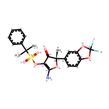 BC(B)(c1ccccc1)S(=O)(=O)OC1=C(N)O[C@@](B)(c2ccc3c(c2)OC(F)(F)O3)C1=O